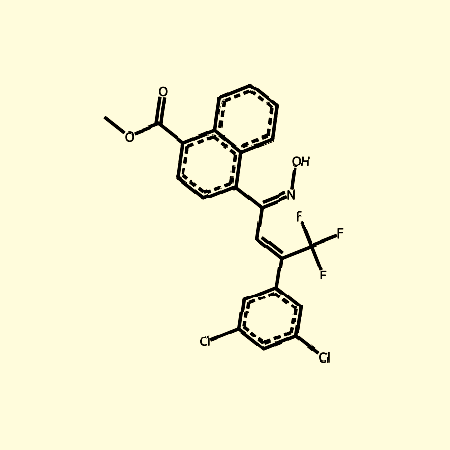 COC(=O)c1ccc(C(C=C(c2cc(Cl)cc(Cl)c2)C(F)(F)F)=NO)c2ccccc12